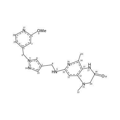 COc1cc(Cn2cc(CNc3cc4c(c(C)n3)NC(=O)CN4C)cn2)ccn1